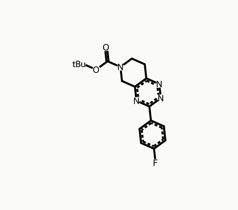 CC(C)(C)OC(=O)N1CCc2nnc(-c3ccc(F)cc3)nc2C1